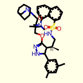 Cc1cc(C)cc(C2NN=C(OCC(C)(C)C(=O)N3CC4CCC3CC4)C2[C@H](C)CNS(=O)(=O)c2cccc3cccc(N(C)C)c23)c1